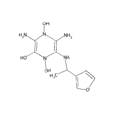 CC(NC1=C(N)N(O)C(N)=C(O)N1O)c1ccoc1